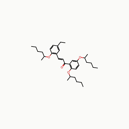 CCCCC(C)Oc1ccc(OC(C)CCCC)c(C(=O)C=Cc2cc(CC)ccc2OC(C)CCCC)c1